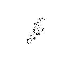 CC(C)(C)C[C@H](NC(=O)c1nc2ccccc2[nH]1)C(=O)NN(CCC(N)=O)C(=O)[C@@H](F)Cl